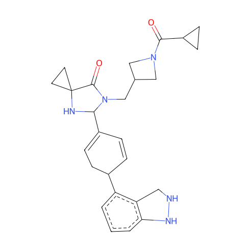 O=C(C1CC1)N1CC(CN2C(=O)C3(CC3)NC2C2=CCC(c3cccc4c3CNN4)C=C2)C1